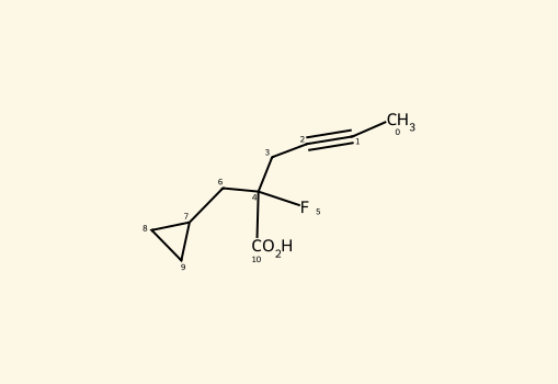 CC#CCC(F)(CC1CC1)C(=O)O